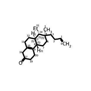 C=CCC[C@@]1(C)CC[C@@H]2C3=C(CC[C@H]2[C@@H]1CC)CC(=O)CC3